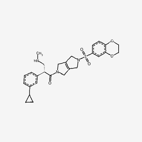 CNC[C@H](C(=O)N1CC2=C(C1)CN(S(=O)(=O)c1ccc3c(c1)OCCO3)C2)c1cccc(C2CC2)c1